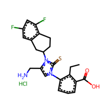 CCc1c(C(=O)O)cccc1-n1cc(CN)n(C2CCc3c(F)cc(F)cc3C2)c1=S.Cl